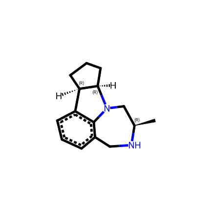 C[C@@H]1CN2c3c(cccc3[C@H]3CCC[C@H]32)CN1